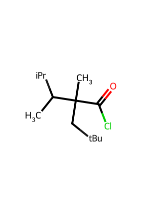 CC(C)C(C)C(C)(CC(C)(C)C)C(=O)Cl